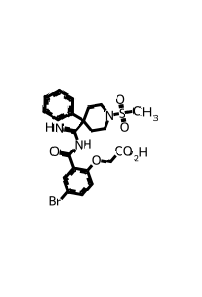 CS(=O)(=O)N1CCC(C(=N)NC(=O)c2cc(Br)ccc2OCC(=O)O)(c2ccccc2)CC1